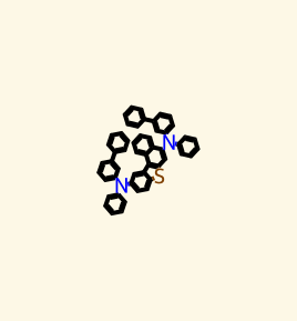 c1ccc(-c2cccc(N(c3ccccc3)c3ccc4sc5cc(N(c6ccccc6)c6cccc(-c7ccccc7)c6)c6ccccc6c5c4c3)c2)cc1